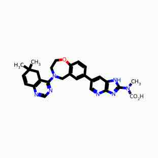 CN(C(=O)O)c1nc2ncc(-c3ccc4c(c3)CN(c3ncnc5c3CC(C)(C)C=C5)CCO4)cc2[nH]1